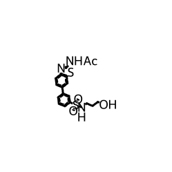 CC(=O)Nc1nc2ccc(-c3cccc(S(=O)(=O)NCCCO)c3)cc2s1